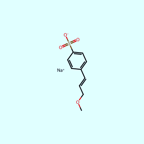 COCC=Cc1ccc(S(=O)(=O)[O-])cc1.[Na+]